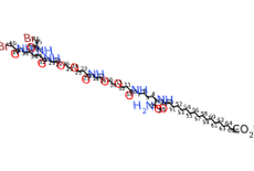 NC(=O)C(CCCCNC(=O)CCOCCOCCNC(=O)CCOCCOCCNC(=O)C(CCCNC(=O)CBr)NC(=O)CBr)NC(=O)CCCCCCCCCCCCCCCCC(=O)O